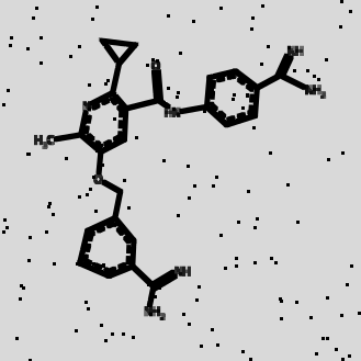 Cc1nc(C2CC2)c(C(=O)Nc2ccc(C(=N)N)cc2)cc1OCc1cccc(C(=N)N)c1